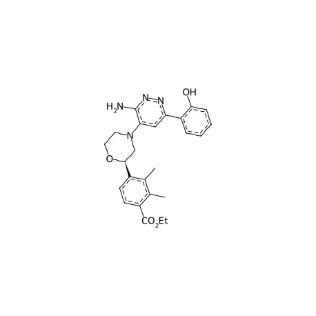 CCOC(=O)c1ccc([C@@H]2CN(c3cc(-c4ccccc4O)nnc3N)CCO2)c(C)c1C